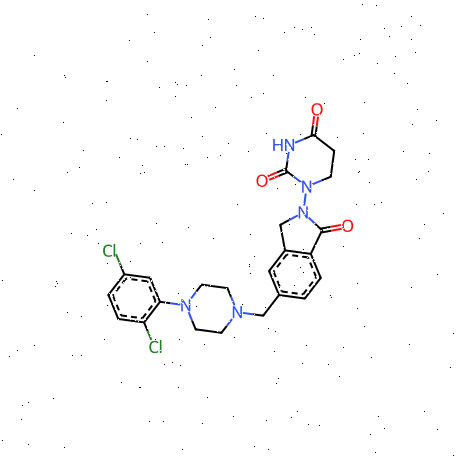 O=C1CCN(N2Cc3cc(CN4CCN(c5cc(Cl)ccc5Cl)CC4)ccc3C2=O)C(=O)N1